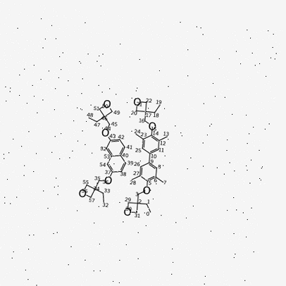 CCC1(COc2c(C)cc(-c3cc(C)c(OCC4(CC)COC4)c(C)c3)cc2C)COC1.CCC1(COc2ccc3ccc(OCC4(CC)COC4)cc3c2)COC1